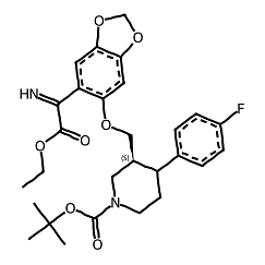 CCOC(=O)C(=N)c1cc2c(cc1OC[C@@H]1CN(C(=O)OC(C)(C)C)CCC1c1ccc(F)cc1)OCO2